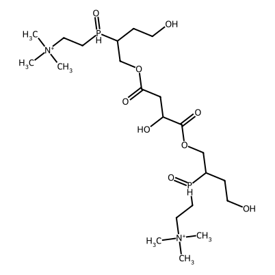 C[N+](C)(C)CC[PH](=O)C(CCO)COC(=O)CC(O)C(=O)OCC(CCO)[PH](=O)CC[N+](C)(C)C